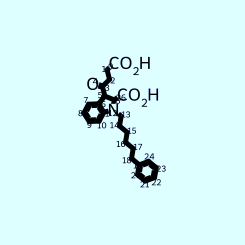 O=C(O)CCC(=O)C1c2ccccc2N(CCCCCCc2ccccc2)C1C(=O)O